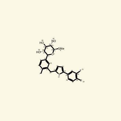 CS[C@H]1OC(c2ccc(C)c(Cc3ccc(-c4ccc(F)c(F)c4)s3)c2)[C@H](O)[C@@H](O)[C@@H]1N=O